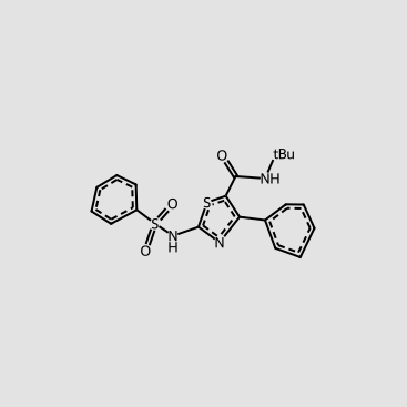 CC(C)(C)NC(=O)c1sc(NS(=O)(=O)c2ccccc2)nc1-c1ccccc1